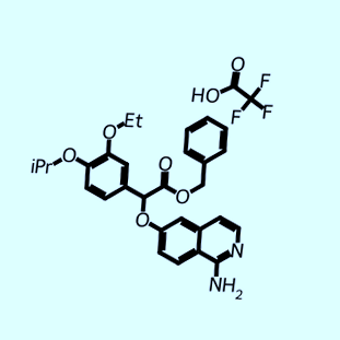 CCOc1cc(C(Oc2ccc3c(N)nccc3c2)C(=O)OCc2ccccc2)ccc1OC(C)C.O=C(O)C(F)(F)F